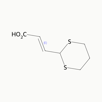 O=C(O)/C=C/C1SCCCS1